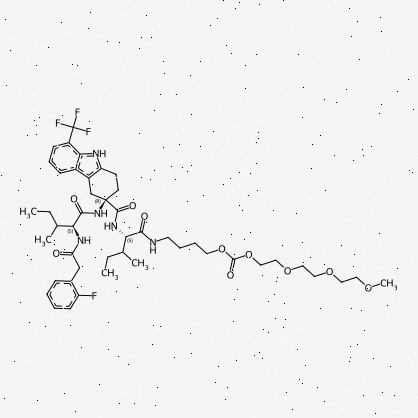 CCC(C)[C@H](NC(=O)Cc1ccccc1F)C(=O)N[C@]1(C(=O)N[C@H](C(=O)NCCCCOC(=O)OCCOCCOCCOC)C(C)CC)CCc2[nH]c3c(C(F)(F)F)cccc3c2C1